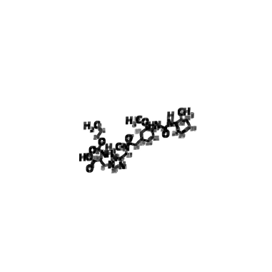 C=CCOC(=O)NC(Cn1cnc(CN(C)C(=O)Cc2ccc(NC(=O)Nc3ccccc3C)c(OC)c2)n1)C(=O)O